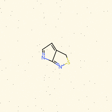 C1=NC2=NSCC2=C1